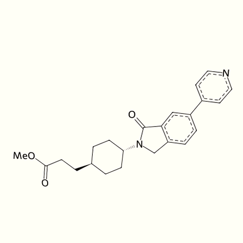 COC(=O)CC[C@H]1CC[C@H](N2Cc3ccc(-c4ccncc4)cc3C2=O)CC1